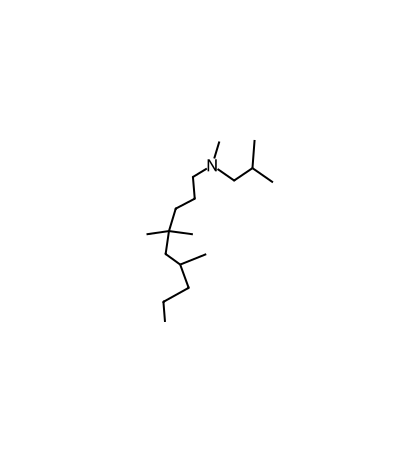 CCCC(C)CC(C)(C)CCCN(C)CC(C)C